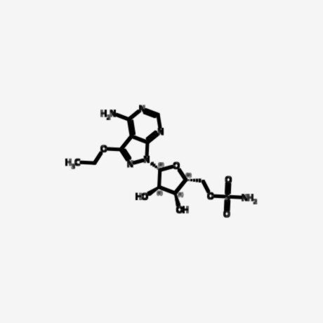 CCOc1nn([C@@H]2O[C@H](COS(N)(=O)=O)[C@@H](O)[C@H]2O)c2ncnc(N)c12